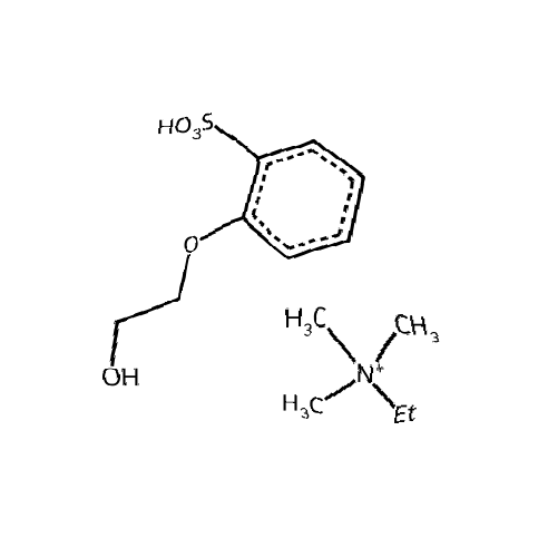 CC[N+](C)(C)C.O=S(=O)(O)c1ccccc1OCCO